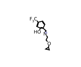 Oc1cc(C(F)(F)F)ccc1/C=N/CCOC1CC1